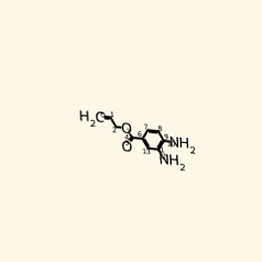 C=CCOC(=O)c1ccc(N)c(N)c1